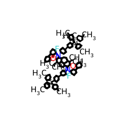 CC1=CC=C([Si](c2ccc(C)cc2)(c2ccc(C)cc2)c2ccc(-c3ccc(N(c4cc(C(C)C)c5ccc6c(N(c7ccc(-c8ccc([Si](c9ccc(C)cc9)(c9ccc(C)cc9)c9ccc(C)cc9)cc8)cc7F)c7cccc8c7oc7ccccc78)cc(C(C)C)c7ccc4c5c76)c4cccc5c4oc4ccccc45)c(F)c3)cc2)C(C)C1